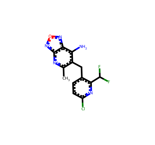 Cc1nc2nonc2c(N)c1Cc1ccc(Cl)nc1C(F)F